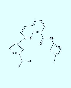 Cc1cnc(NC(=O)c2cccc3ccc(-c4ccnc(C(F)F)c4)nc23)s1